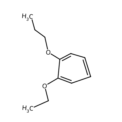 CCCOc1ccccc1OCC